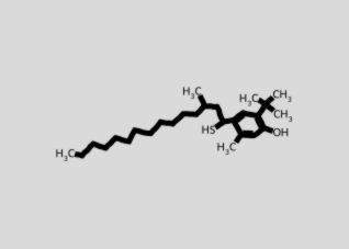 CCCCCCCCCCCCC(C)CC(S)c1cc(C(C)(C)C)c(O)cc1C